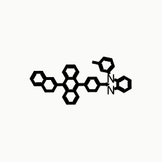 Cc1cccc(-n2c(C3=CC=C(c4c5ccccc5c(C5=Cc6ccccc6CC5)c5ccccc45)CC3)nc3ccccc32)c1